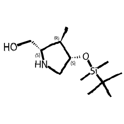 C[C@@H]1[C@@H](CO)NC[C@H]1O[Si](C)(C)C(C)(C)C